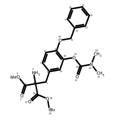 COC(=O)C(N)(Cc1ccc(OCc2ccccc2)c(OC(=O)N(C)C)c1)C(=O)OC(C)(C)C